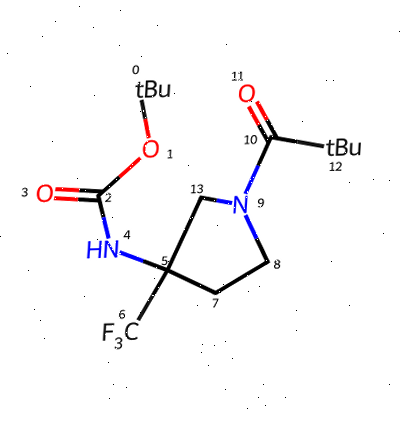 CC(C)(C)OC(=O)NC1(C(F)(F)F)CCN(C(=O)C(C)(C)C)C1